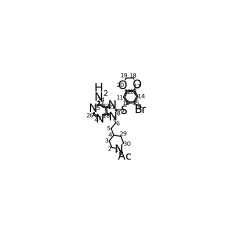 CC(=O)N1CCC(CCn2c(Sc3cc4c(cc3Br)OCCO4)nc3c(N)ncnc32)CC1